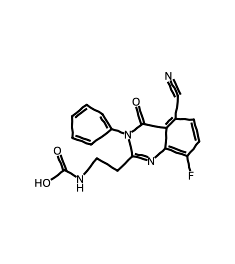 N#Cc1ccc(F)c2nc(CCNC(=O)O)n(-c3ccccc3)c(=O)c12